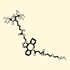 COCCOCCNC(=O)CCC(=O)N1Cc2ccccc2-c2c(nnn2CCOC(=O)NCCCCC(NC(C)(C)C)C(=O)C(C)(C)C)-c2ccccc21